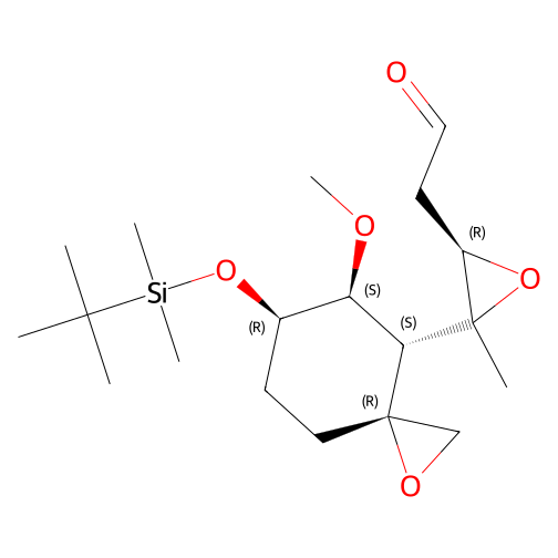 CO[C@H]1[C@H](C2(C)O[C@@H]2CC=O)[C@]2(CC[C@H]1O[Si](C)(C)C(C)(C)C)CO2